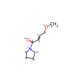 COCC=CC(=O)N1C[CH]CC1